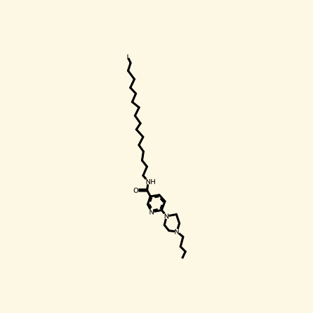 CCCCN1CCN(c2ccc(C(=O)NCCCCCCCCCCCCCCCCI)cn2)CC1